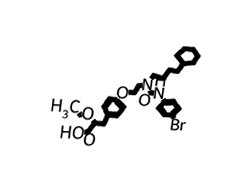 CCOC(Cc1ccc(OCCN(CCCCC2CCCCC2)C(=O)Nc2ccc(Br)cc2)cc1)C(=O)O